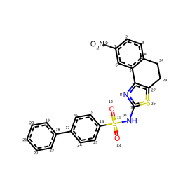 O=[N+]([O-])c1ccc2c(c1)-c1nc(NS(=O)(=O)c3ccc(-c4ccccc4)cc3)sc1CC2